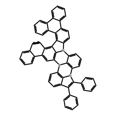 c1ccc(-c2c(-c3ccccc3)n3c4c(cccc24)B2c4c-3cccc4-n3c4ccc5c6ccccc6c6ccccc6c5c4c4c5c6ccccc6c6ccccc6c5cc2c43)cc1